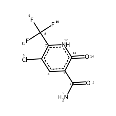 NC(=O)c1cc(Cl)c(C(F)(F)F)[nH]c1=O